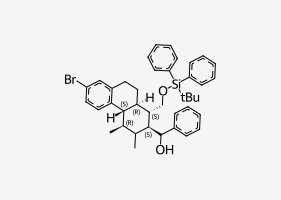 CC1[C@H](C(O)c2ccccc2)[C@@H](CO[Si](c2ccccc2)(c2ccccc2)C(C)(C)C)[C@@H]2CCc3cc(Br)ccc3[C@H]2[C@@H]1C